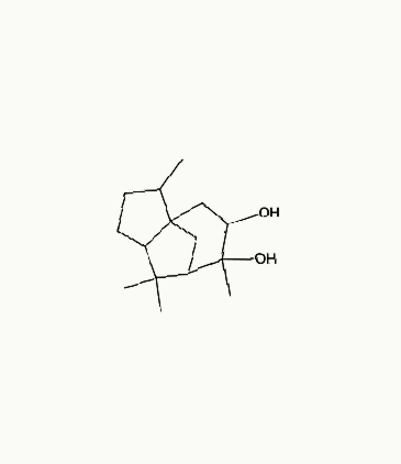 CC1CCC2C(C)(C)C3CC12CC(O)C3(C)O